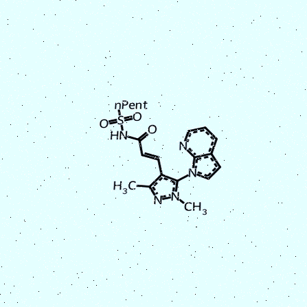 CCCCCS(=O)(=O)NC(=O)C=Cc1c(C)nn(C)c1-n1ccc2cccnc21